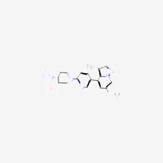 COc1cc(-c2ccc(N3CC[C@H](NC(=O)O)[C@@H](O)C3)nc2)c2c(C#N)cnn2c1